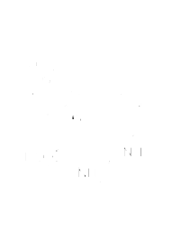 NC(Cc1c[nH]c2ccccc12)C(=O)O.O=C1C=CC(=O)c2ccccc21